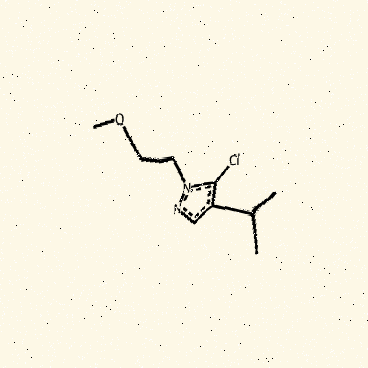 COCCn1ncc(C(C)C)c1Cl